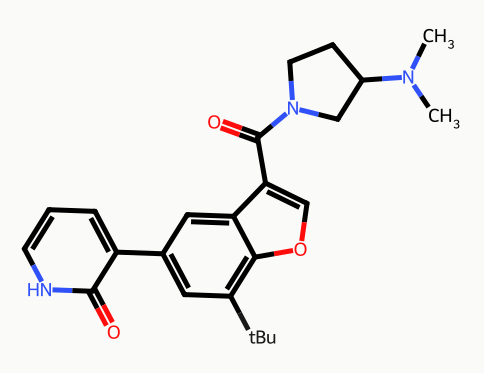 CN(C)C1CCN(C(=O)c2coc3c(C(C)(C)C)cc(-c4ccc[nH]c4=O)cc23)C1